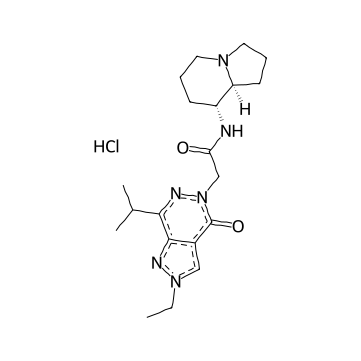 CCn1cc2c(=O)n(CC(=O)N[C@@H]3CCCN4CCC[C@@H]34)nc(C(C)C)c2n1.Cl